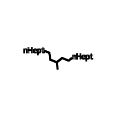 C[CH]CCCCCCCC(C)CCCCCCCCC